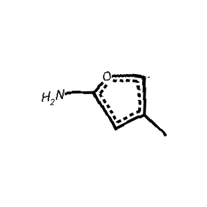 Cc1[c]oc(N)c1